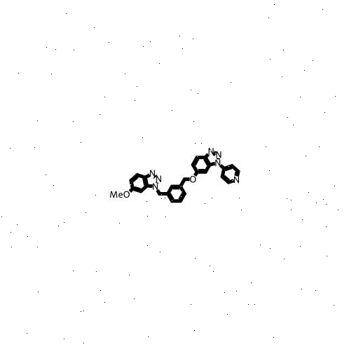 COc1ccc2nnn(Cc3cccc(COc4ccc5nnn(-c6ccncc6)c5c4)c3)c2c1